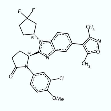 COc1ccc(N2C(=O)CC[C@H]2c2nc3cc(-c4c(C)noc4C)ccc3n2[C@@H]2CCC(F)(F)C2)cc1Cl